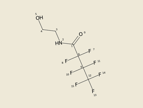 O=C(NCCO)C(F)(F)C(F)(F)C(F)(F)F